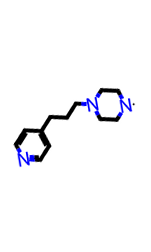 c1cc(CCCN2CC[N]CC2)ccn1